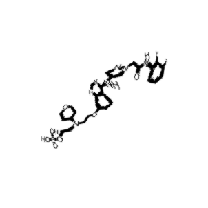 O=C(Cn1cc(Nc2ncnc3cc(OCCN(CCOP(=O)(O)O)C4CCOCC4)ccc23)cn1)Nc1cccc(F)c1F